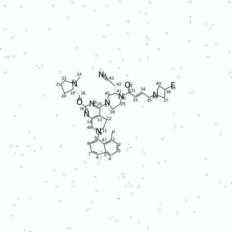 Cc1cccc2cccc(N3CCc4c(nc(OC[C@@H]5CCCN5C)nc4N4CCN(C(=O)/C=C/CN5CC(F)C5)[C@@H](CC#N)C4)C3)c12